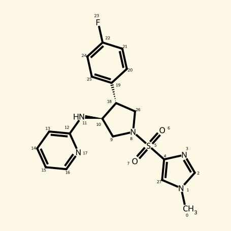 Cn1cnc(S(=O)(=O)N2C[C@@H](Nc3ccccn3)[C@H](c3ccc(F)cc3)C2)c1